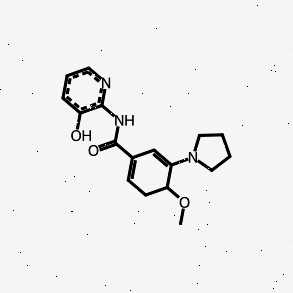 COC1CC=C(C(=O)Nc2ncccc2O)C=C1N1CCCC1